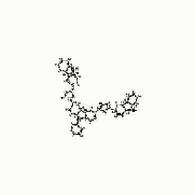 c1ccc(-n2c3ccc(-c4ccc(-c5ccc6[nH]c7ccccc7c6c5)s4)cc3c3cc(-c4ccc(-c5ccc6[nH]c7ccccc7c6c5)s4)ccc32)cc1